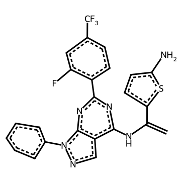 C=C(Nc1nc(-c2ccc(C(F)(F)F)cc2F)nc2c1cnn2-c1ccccc1)c1ccc(N)s1